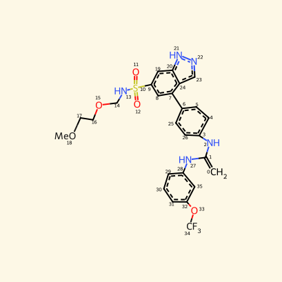 C=C(Nc1ccc(-c2cc(S(=O)(=O)NCOCCOC)cc3[nH]ncc23)cc1)Nc1cccc(OC(F)(F)F)c1